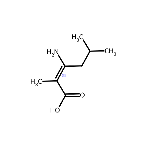 C/C(C(=O)O)=C(\N)CC(C)C